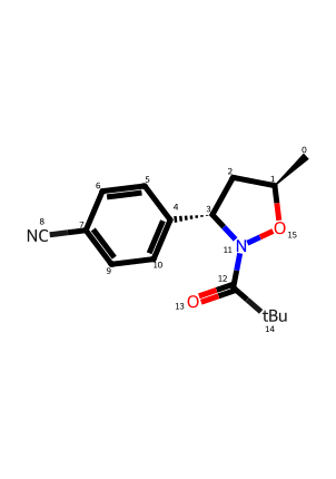 C[C@@H]1C[C@@H](c2ccc(C#N)cc2)N(C(=O)C(C)(C)C)O1